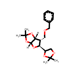 CC1(C)OCC([C@H]2O[C@@H]3OC(C)(C)O[C@@H]3[C@@H]2COCc2ccccc2)O1